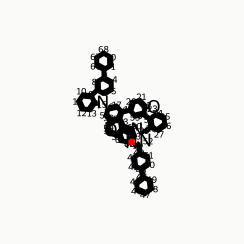 C1=CC(c2ccc3c(c2)c2ccccc2n3-c2cc(-c3ccc4oc5cccc(-c6nc(-c7ccccc7)nc(-c7ccc(-c8ccccc8)cc7)n6)c5c4c3)c3c(c2)oc2ccccc23)=CCC1